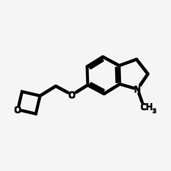 CN1CCc2ccc(OCC3COC3)cc21